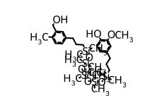 COc1cc(CCC[Si](C)(C)O[Si](C)(C)O[Si](C)(C)O[Si](C)(C)O[Si](C)(C)CCCc2ccc(C)c(CO)c2)ccc1O